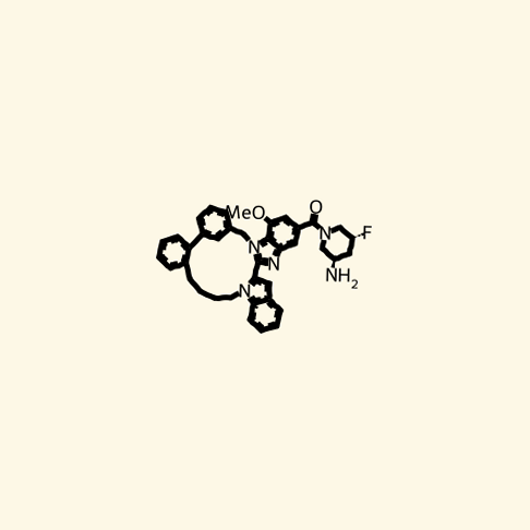 COc1cc(C(=O)N2C[C@H](N)C[C@@H](F)C2)cc2nc3n(c12)Cc1cccc(c1)-c1ccccc1CCCCn1c-3cc2ccccc21